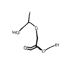 CCOC(=O)OC(C)O